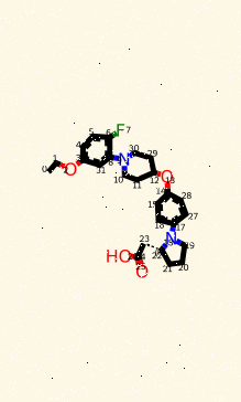 CCOc1ccc(F)c(N2CCC(Oc3ccc(N4CCC[C@@H]4CC(=O)O)cc3)CC2)c1